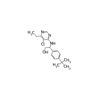 CCc1ncnc(NC(CO)c2ccc(C(C)(C)C)cc2)c1Cl